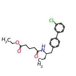 CCOC(=O)CCCC(=O)N[C@H](CC)Cc1ccc(-c2cccc(Cl)c2)cc1